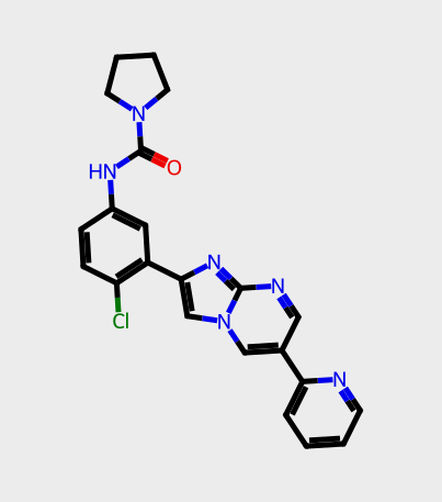 O=C(Nc1ccc(Cl)c(-c2cn3cc(-c4ccccn4)cnc3n2)c1)N1CCCC1